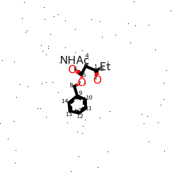 CCC(=O)C(NC(C)=O)C(=O)OCc1ccccc1